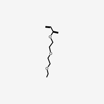 C=CC(=C)OCCOCCOCC